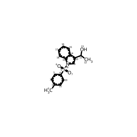 Cc1ccc(S(=O)(=O)n2cc(C(C)O)c3ccccc32)cc1